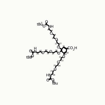 CC(C)(C)OC(=O)NCCOCCOCCOc1cc(C(=O)O)cc(OCCOCCOCCNC(=O)OC(C)(C)C)c1OCCOCCOCCNC(=O)OC(C)(C)C